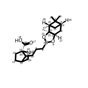 CC1(C)[C@@H]2C[C@H]3OB(CCCC4C5CC[C@@]4(C(=O)O)NC5)O[C@@]3(C)[C@H]1C2